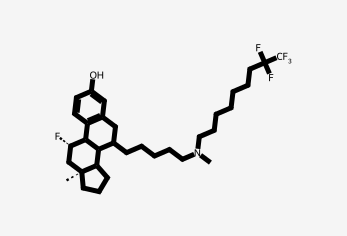 CN(CCCCCCCC(F)(F)C(F)(F)F)CCCCCC1Cc2cc(O)ccc2C2C1C1CCC[C@@]1(C)C[C@@H]2F